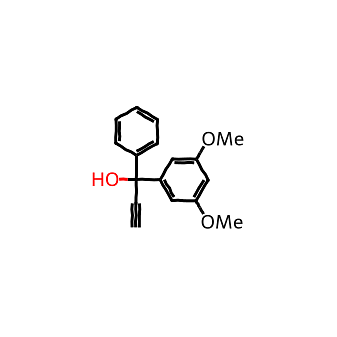 C#CC(O)(c1ccccc1)c1cc(OC)cc(OC)c1